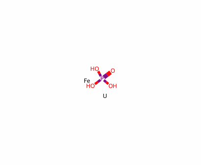 O=P(O)(O)O.[Fe].[U]